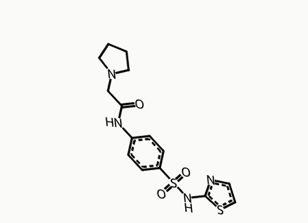 O=C(CN1CCCC1)Nc1ccc(S(=O)(=O)Nc2nccs2)cc1